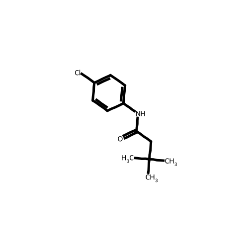 CC(C)(C)CC(=O)Nc1ccc(Cl)cc1